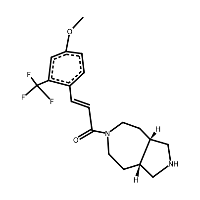 COc1ccc(/C=C/C(=O)N2CC[C@@H]3CNC[C@@H]3CC2)c(C(F)(F)F)c1